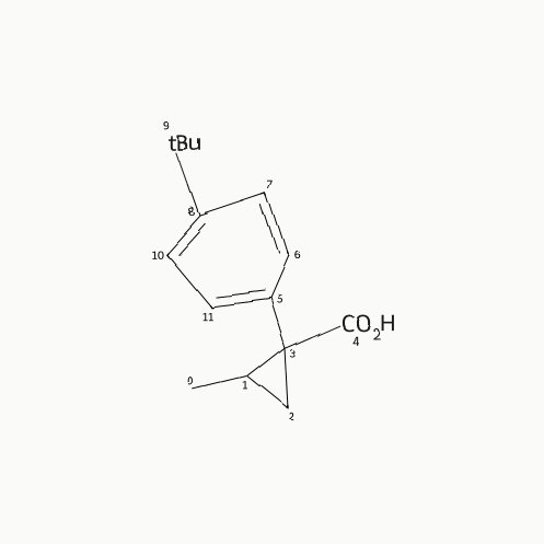 CC1CC1(C(=O)O)c1ccc(C(C)(C)C)cc1